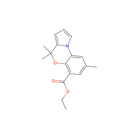 CCOC(=O)c1cc(C)cc2c1OC(C)(C)c1cccn1-2